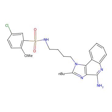 CCCCc1nc2c(N)nc3ccccc3c2n1CCCCNS(=O)(=O)c1cc(Cl)ccc1OC